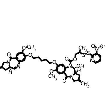 C=C1C[C@H]2C=Nc3cc(OCCCCCOc4cc5c(cc4OC)C(=O)N4CC(=C)C[C@H]4[C@H](O)N5C(=O)OCC(C)SSc4ncccc4[N+](=O)[O-])c(OC)cc3C(=O)N2C1